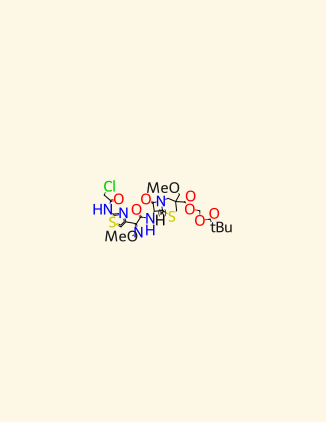 COCC1(C(=O)OCOC(=O)C(C)(C)C)CS[C@@H]2C(NC(=O)C(=NOC)c3csc(NC(=O)CCl)n3)C(=O)N2C1